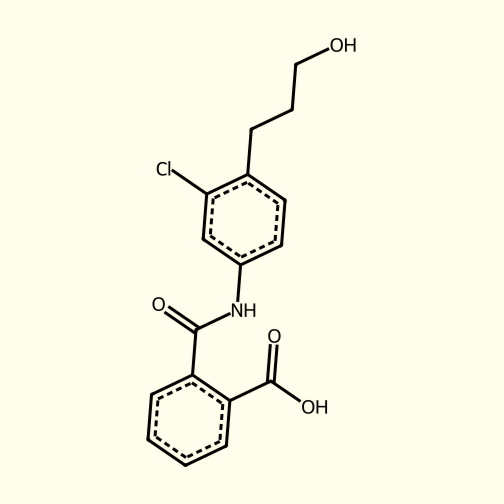 O=C(O)c1ccccc1C(=O)Nc1ccc(CCCO)c(Cl)c1